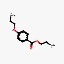 COCCOC(=O)c1ccc(OCCOC)cc1